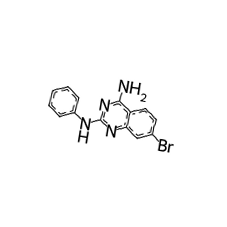 Nc1nc(Nc2ccccc2)nc2cc(Br)ccc12